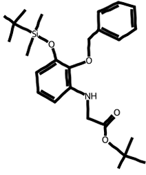 CC(C)(C)OC(=O)CNc1cccc(O[Si](C)(C)C(C)(C)C)c1OCc1ccccc1